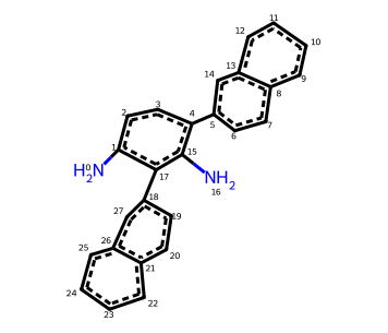 Nc1ccc(-c2ccc3ccccc3c2)c(N)c1-c1ccc2ccccc2c1